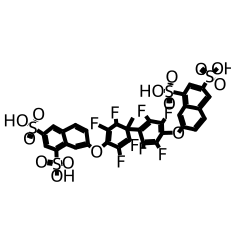 CC1(c2c(F)c(F)c(Oc3ccc4cc(S(=O)(=O)O)cc(S(=O)(=O)O)c4c3)c(F)c2F)C(F)=C(F)C(Oc2ccc3cc(S(=O)(=O)O)cc(S(=O)(=O)O)c3c2)=C(F)C1F